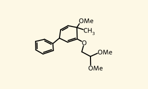 COC(COC1=CC(c2ccccc2)C=CC1(C)OC)OC